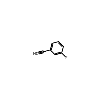 C#Cc1cccc(F)c1